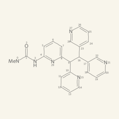 CNC(=O)Nc1cccc(C(c2ccccn2)C(c2cccnc2)c2cccnc2)n1